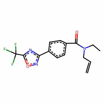 C=CCN(CC)C(=O)c1ccc(-c2noc(C(F)(F)F)n2)cc1